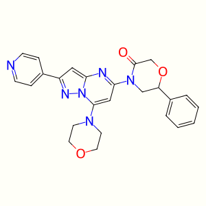 O=C1COC(c2ccccc2)CN1c1cc(N2CCOCC2)n2nc(-c3ccncc3)cc2n1